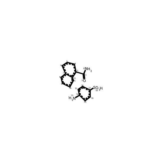 NC(=O)c1cccc2ccccc12.Nc1ccc(S(=O)(=O)O)cc1